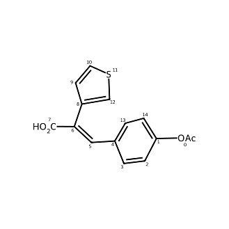 CC(=O)Oc1ccc(C=C(C(=O)O)c2ccsc2)cc1